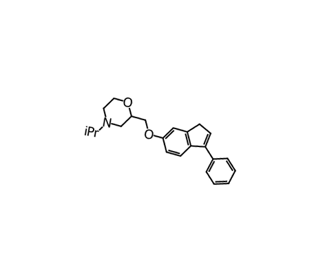 CC(C)N1CCOC(COc2ccc3c(c2)CC=C3c2ccccc2)C1